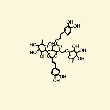 CC1OC(OCC2OC(OCCc3ccc(O)c(O)c3)C(O)C(OC3OC(C)C(O)C(O)C3O)C2OC(=O)/C=C/c2ccc(O)c(O)c2)C(O)C(O)C1O